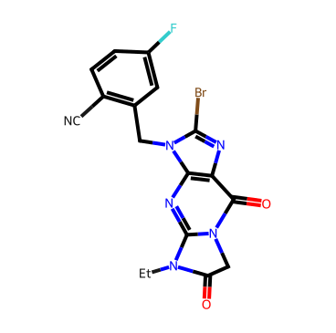 CCN1C(=O)Cn2c1nc1c(nc(Br)n1Cc1cc(F)ccc1C#N)c2=O